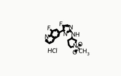 CS(=O)(=O)N1CCCC(Nc2ncc(F)c(-c3cc(F)c4ncccc4c3)n2)C1.Cl